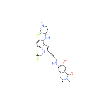 COc1cc(C(=O)N(C)C(C)C)ccc1NCC#Cc1cc2c(N[C@@H]3CCN(C)C[C@@H]3F)cccc2n1CC(F)(F)F